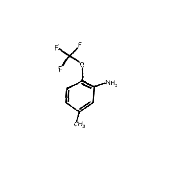 Cc1ccc(OC(F)(F)F)c(N)c1